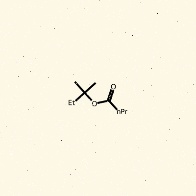 CCCC(=O)OC(C)(C)CC